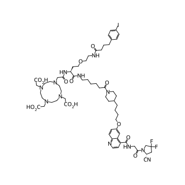 N#C[C@H]1CC(F)(F)CN1C(=O)CNC(=O)c1ccnc2ccc(OCCCCC3CCN(C(=O)CCCCCNC(=O)[C@H](CCOCCNC(=O)CCCc4ccc(I)cc4)NC(=O)CN4CCN(CC(=O)O)CCN(CC(=O)O)CCN(CC(=O)O)CC4)CC3)cc12